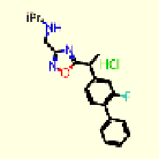 CC(C)NCc1noc(C(C)c2ccc(-c3ccccc3)c(F)c2)n1.Cl